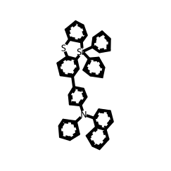 c1ccc(N(c2ccc(-c3ccc4c(c3)[Si](c3ccccc3)(c3ccccc3)c3ccccc3S4)cc2)c2cccc3ccccc23)cc1